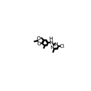 CC(=O)Oc1c(C)cc(Nc2nc(C)cc(Cl)n2)cc1C